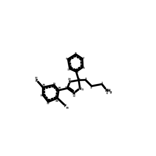 NCCCC1(c2ccccc2)[N]N=C(c2cc(F)ccc2F)S1